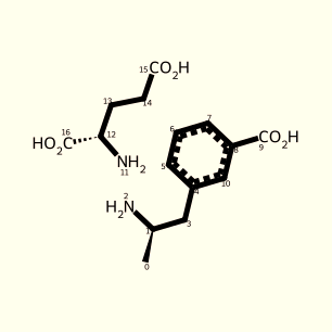 C[C@@H](N)Cc1cccc(C(=O)O)c1.N[C@@H](CCC(=O)O)C(=O)O